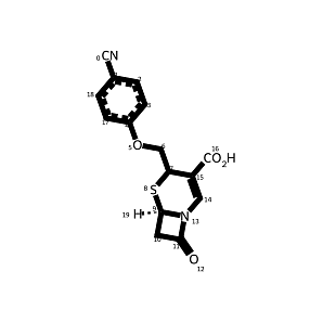 N#Cc1ccc(OCC2S[C@@H]3CC(=O)N3C=C2C(=O)O)cc1